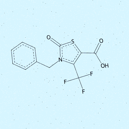 O=C(O)c1sc(=O)n(Cc2ccccc2)c1C(F)(F)F